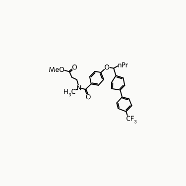 CCCC(Oc1ccc(C(=O)N(C)CCC(=O)OC)cc1)c1ccc(-c2ccc(C(F)(F)F)cc2)cc1